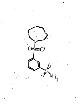 NS(=O)(=O)c1cccc(S(=O)(=O)N2CCCCCC2)c1